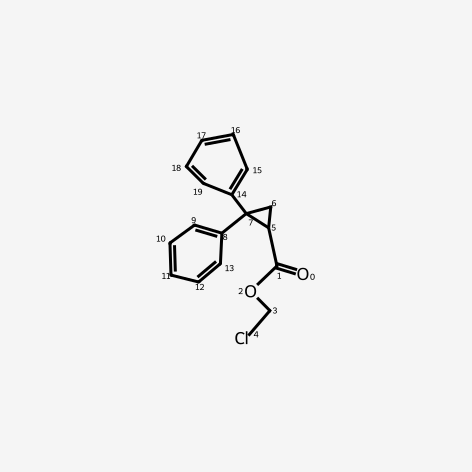 O=C(OCCl)C1CC1(c1ccccc1)c1ccccc1